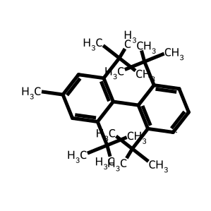 Cc1cc(C(C)(C)C)c(-c2c(C(C)(C)C)[c]ccc2C(C)(C)C)c(C(C)(C)C)c1